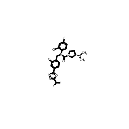 CN(C)[C@@H]1CCN(C(=O)N(Cc2ccc(-c3nnc(C(F)F)o3)cc2F)c2ccc(F)cc2Cl)C1